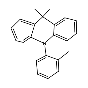 Cc1ccccc1N1c2ccccc2C(C)(C)c2ccccc21